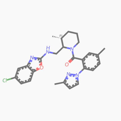 Cc1ccc(-n2ccc(C)n2)c(C(=O)N2CCC[C@@H](C)C2CNc2nc3cc(Cl)ccc3o2)c1